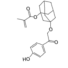 C=C(C)C(=O)OC12CC3CC(CC(OCC(=O)c4ccc(O)cc4)(C3)C1)C2